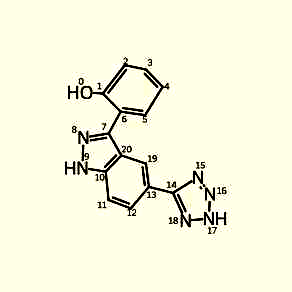 Oc1ccccc1-c1n[nH]c2ccc(-c3nn[nH]n3)cc12